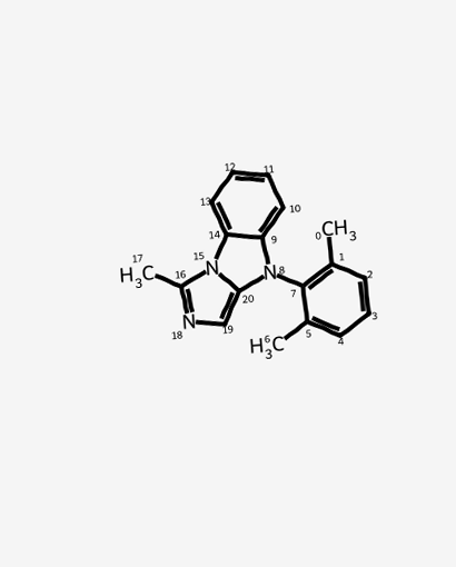 Cc1cccc(C)c1-n1c2ccccc2n2c(C)ncc12